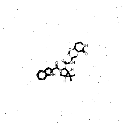 CC1(C)[C@@H]2[C@@H](C(=O)N[C@H](CO)C[C@@H]3CCCNC3=O)N(C(=O)c3cc4ccccc4[nH]3)C[C@@H]21